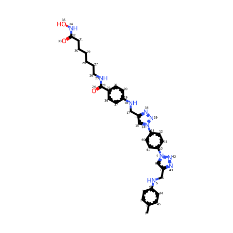 Cc1ccc(NCc2cn(-c3ccc(-n4cc(CNc5ccc(C(=O)NCCCCCCC(=O)NO)cc5)nn4)cc3)nn2)cc1